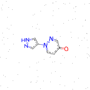 O=c1ccn(-c2cn[nH]c2)nc1